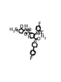 Cc1cc(F)ccc1Nc1cc(S(=O)(=O)NC2CCN(C)C2=O)ncc1C(=O)N1CCC(c2ccc(F)cc2)CC1